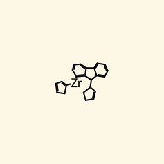 C1=CC[C]([Zr][c]2cccc3c2C(C2C=CCC2)c2ccccc2-3)=C1